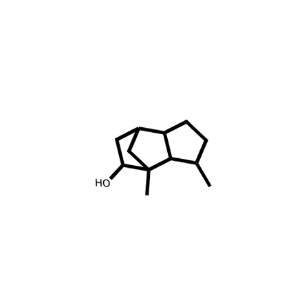 CC1CCC2C3CC(O)C(C)(C3)C12